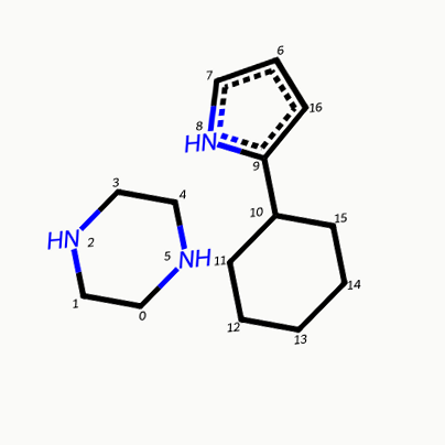 C1CNCCN1.c1c[nH]c(C2CCCCC2)c1